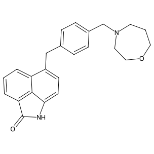 O=C1Nc2ccc(Cc3ccc(CN4CCCOCC4)cc3)c3cccc1c23